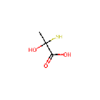 CC(O)(S)C(=O)O